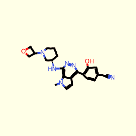 Cn1ccc2c(-c3ccc(C#N)cc3O)nnc(N[C@@H]3CCCN(C4COC4)C3)c21